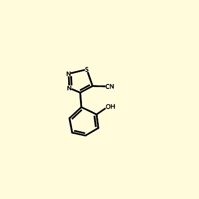 N#Cc1snnc1-c1ccccc1O